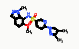 COc1ccc2cnn(C)c2c1NS(=O)(=O)c1ccc(-n2cc(C)c(C)n2)nc1